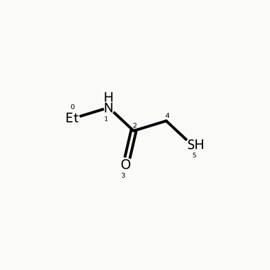 CCNC(=O)CS